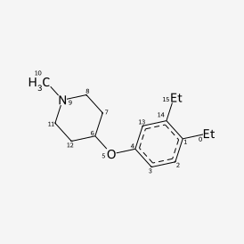 CCc1ccc(OC2CCN(C)CC2)cc1CC